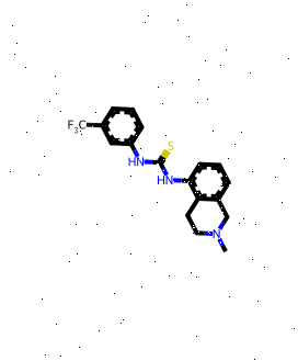 CN1CCc2c(cccc2NC(=S)Nc2cccc(C(F)(F)F)c2)C1